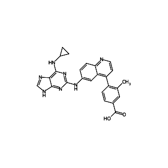 Cc1cc(C(=O)O)ccc1-c1ccnc2ccc(Nc3nc(NC4CC4)c4nc[nH]c4n3)cc12